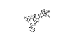 CC(OC(=O)C1C2OC3C1C(=O)N(C(C)(C)C)C3C2OC(=O)C12CC3CC(CC(C3)C1)C2)C(F)(F)S(=O)(=O)O